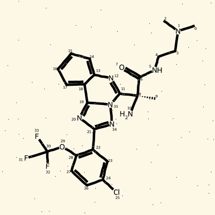 CN(C)CCNC(=O)[C@@](C)(N)c1nc2ccccc2c2nc(-c3cc(Cl)ccc3OC(F)(F)F)nn12